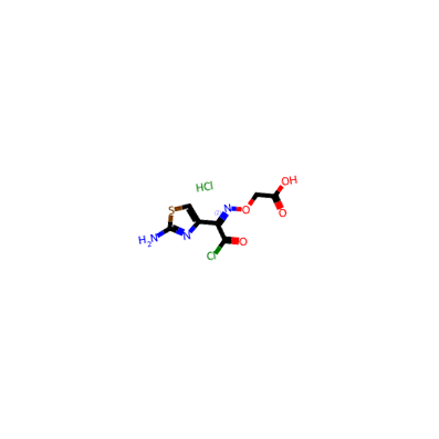 Cl.Nc1nc(/C(=N/OCC(=O)O)C(=O)Cl)cs1